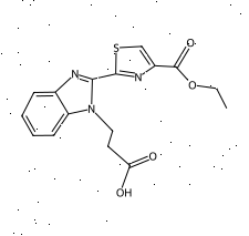 CCOC(=O)c1csc(-c2nc3ccccc3n2CCC(=O)O)n1